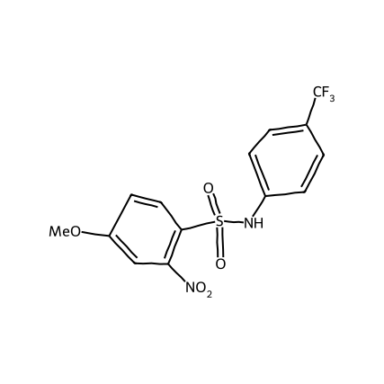 COc1ccc(S(=O)(=O)Nc2ccc(C(F)(F)F)cc2)c([N+](=O)[O-])c1